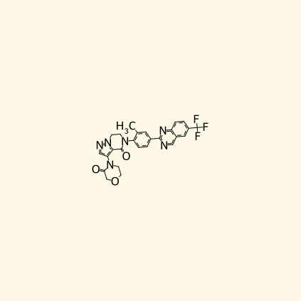 Cc1cc(-c2ncc3cc(C(F)(F)F)ccc3n2)ccc1N1CCn2ncc(N3CCOCC3=O)c2C1=O